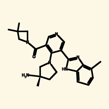 Cc1cccc2[nH]c(-c3cncc(C(=O)N4CC(C)(C)C4)c3N3CC[C@](C)(N)C3)nc12